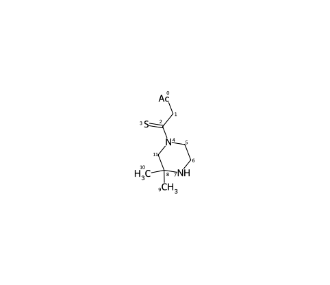 CC(=O)CC(=S)N1CCNC(C)(C)C1